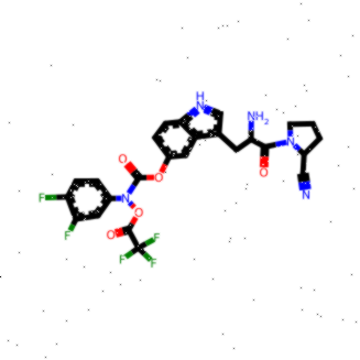 N#CC1CCCN1C(=O)C(N)Cc1c[nH]c2ccc(OC(=O)N(OC(=O)C(F)(F)F)c3ccc(F)c(F)c3)cc12